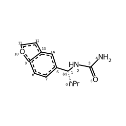 CCC[C@@H](NC(N)=O)c1ccc2occc2c1